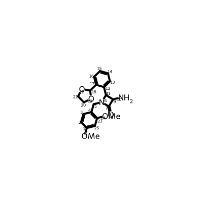 COc1ccc(CN2C(=O)C(N)C2c2ccccc2C2OCCO2)c(OC)c1